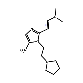 CN(C)/C=C/c1ncc([N+](=O)[O-])n1CCN1CCCC1